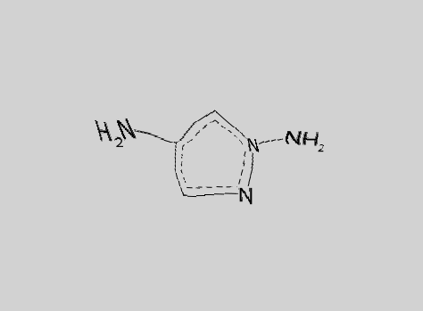 Nc1cnn(N)c1